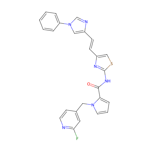 O=C(Nc1nc(C=Cc2cn(-c3ccccc3)cn2)cs1)c1cccn1Cc1ccnc(F)c1